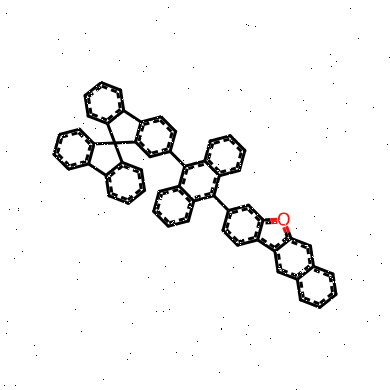 c1ccc2c(c1)-c1ccccc1C21c2ccccc2-c2ccc(-c3c4ccccc4c(-c4ccc5c(c4)oc4cc6ccccc6cc45)c4ccccc34)cc21